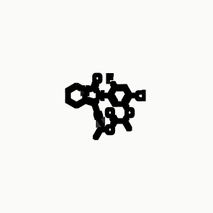 CCOC(=O)C(C)Oc1cc(-n2c(C#N)c3n(c2=O)CCCC3)c(F)cc1Cl